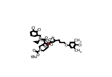 Cc1cc(OCCCc2cc(C3=C(C(=O)N(Cc4cccc(Cl)c4Cl)C4CC4)C4CN(C(=O)OC(C)(C)C)CC(C3)N4C(=O)OC(C)(C)C)on2)cc(C)c1Cl